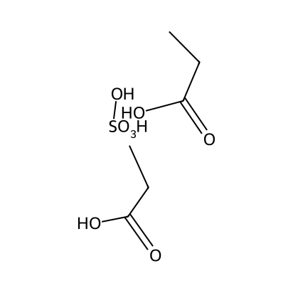 CCC(=O)O.CCC(=O)O.O=S(=O)(O)O